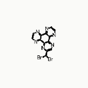 BrC(Br)c1cnc2c3nccnc3c3nccnc3c2n1